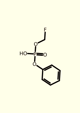 O=P(O)(OCF)Oc1ccccc1